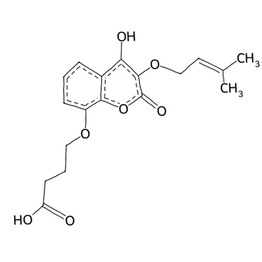 CC(C)=CCOc1c(O)c2cccc(OCCCC(=O)O)c2oc1=O